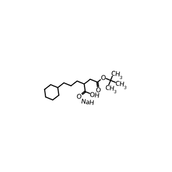 CC(C)(C)OC(=O)CC(CCCC1CCCCC1)C(=O)O.[NaH]